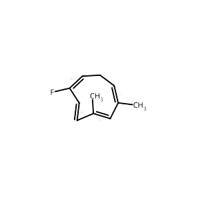 CC1=C\C\C=C(F)/C=C/C(C)=C/1